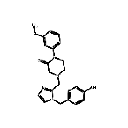 N#Cc1ccc(Cn2ccnc2CN2CCN(c3cccc(OC(F)(F)F)c3)C(=O)C2)cc1